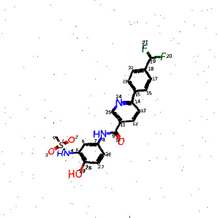 CS(=O)(=O)Nc1cc(NC(=O)c2ccc(-c3ccc(C(F)F)cc3)nc2)ccc1O